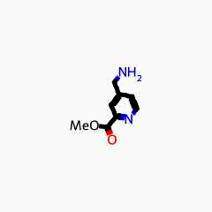 COC(=O)c1cc(CN)ccn1